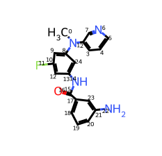 CN(c1cccnc1)c1cc(F)cc(NC(=O)c2cccc(N)c2)c1